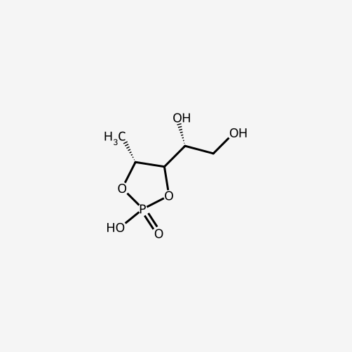 C[C@H]1OP(=O)(O)OC1[C@H](O)CO